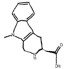 Cn1c2c(c3ccccc31)C[C@@H](C(=O)O)NC2